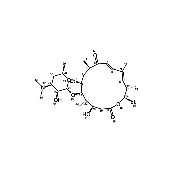 CC[C@H]1C[C@@H](C)C(=O)/C=C/C(C)=C/[C@H](C)[C@@H](CC)OC(=O)C[C@@H](O)[C@H](C)[C@H]1O[C@@H]1O[C@H](C)C[C@H](N(C)C)[C@@H]1O